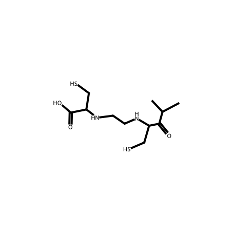 CC(C)C(=O)C(CS)NCCNC(CS)C(=O)O